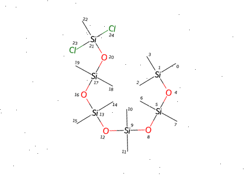 C[Si](C)(C)O[Si](C)(C)O[Si](C)(C)O[Si](C)(C)O[Si](C)(C)O[Si](C)(Cl)Cl